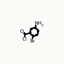 Nc1ccc(Br)c(C(=O)Cl)c1